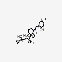 C=C1CC[C@H](O)C/C1=C/C=C1\CCC[C@]2(C)[C@@H]([C@H](C)/C=C/[C@H](O)C3CC3)CC[C@@H]12